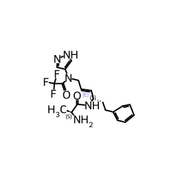 C[C@H](N)C(=O)N[C@H](/C=C/CN(C(=O)C(F)(F)F)c1cn[nH]c1)CCc1ccccc1